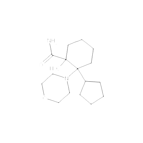 CC1(C(N)=O)CCCCC1(C1CCCC1)N1CCOCC1